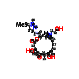 CSc1cc(/C=C(\C)[C@@H]2C[C@@H]3N(CCO)[C@]3(C)CCC[C@H](C)[C@H](O)[C@@H](C)C(=O)C(C)(C)[C@@H](O)CC(=O)O2)nn1C